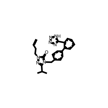 C=CCCn1nc(C(C)C)n(Cc2ccc(-c3ccccc3-c3nnn[nH]3)cc2)c1=O